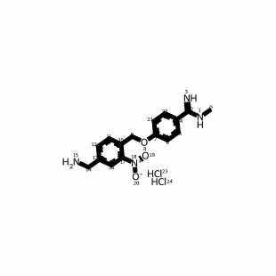 CNC(=N)c1ccc(OCc2ccc(CN)cc2[N+](=O)[O-])cc1.Cl.Cl